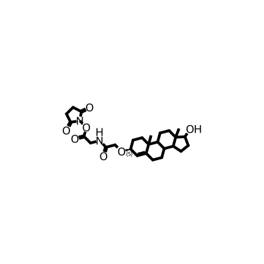 CC12CC[C@H](OCC(=O)NCC(=O)ON3C(=O)CCC3=O)C=C1CCC1C2CCC2(C)C(O)CCC12